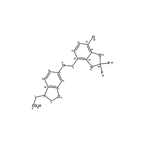 O=C(O)CC1COc2cc(OCc3ccc(Cl)c4c3OC(F)(F)O4)ccc21